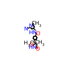 Cc1cc(CNC(=O)c2ccc([C@@H](C)[C@]3(C)CC(=O)NC3=O)cc2)cc(C#N)n1